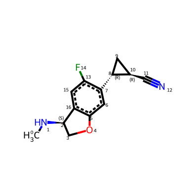 CN[C@@H]1COc2cc([C@@H]3C[C@H]3C#N)c(F)cc21